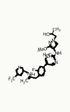 C=C(Cc1ccc(C(/C=N\C(=C)Nc2cn(C[C@H](C)O)nc2OC)=C/C)cc1F)Nc1cncc(C(F)(F)F)c1